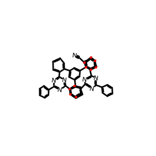 N#Cc1ccccc1-c1cc(-c2ccccc2-c2nc(-c3ccccc3)nc(-c3ccccc3)n2)cc(-c2ccccc2-c2nc(-c3ccccc3)nc(-c3ccccc3)n2)c1